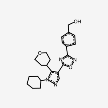 OCc1ccc(-c2noc(-c3cnn(C4CCCCC4)c3C3CCOCC3)n2)cc1